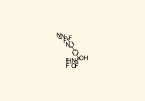 O=C(N[C@H](CF)[C@@H](O)c1ccc(-c2ccc(C(F)(F)Cn3ccnc3)nc2)cc1)C(F)F